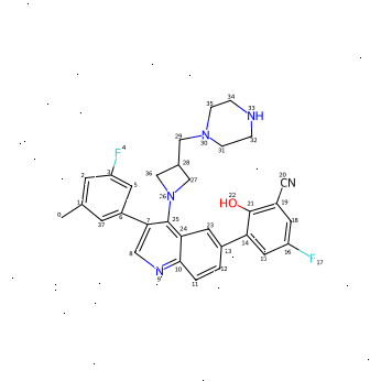 Cc1cc(F)cc(-c2cnc3ccc(-c4cc(F)cc(C#N)c4O)cc3c2N2CC(CN3CCNCC3)C2)c1